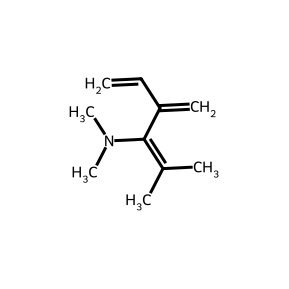 C=CC(=C)C(=C(C)C)N(C)C